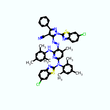 Cc1cc(C)c(Nc2nc(N(c3nc4ccc(Cl)cc4s3)c3c(C)cc(C)cc3C)cc(C)c2/N=N/c2c(C#N)c(-c3ccccc3)nn2-c2nc3ccc(Cl)cc3s2)c(C)c1